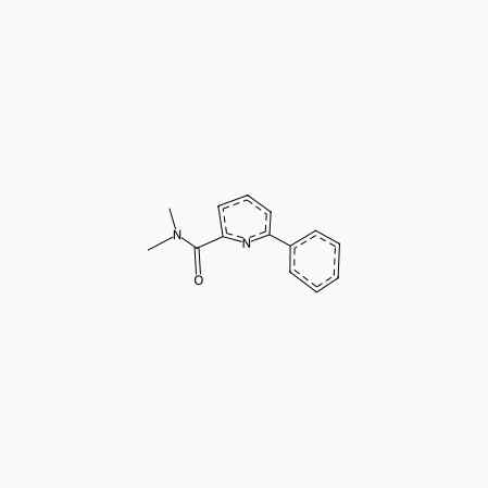 CN(C)C(=O)c1cccc(-c2ccccc2)n1